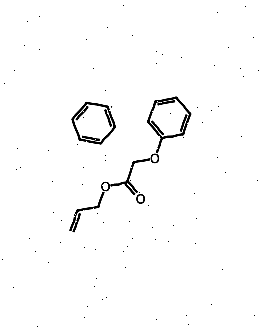 C=CCOC(=O)COc1ccccc1.[c]1ccccc1